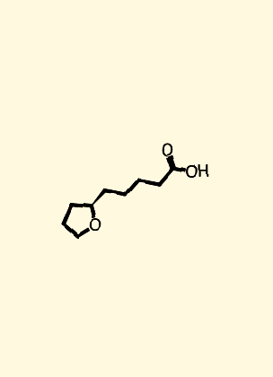 O=C(O)CCCC[C@@H]1CCCO1